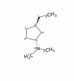 CC[C@@H]1CC[C@@H](N(C)C)C1